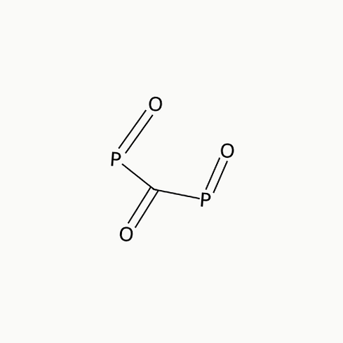 O=PC(=O)P=O